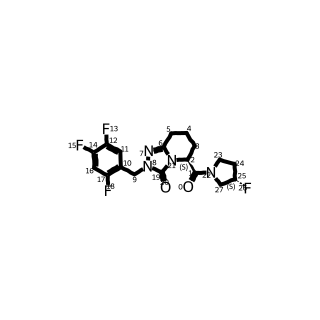 O=C([C@@H]1CCCc2nn(Cc3cc(F)c(F)cc3F)c(=O)n21)N1CC[C@H](F)C1